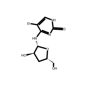 CCc1c[nH]c(=O)nc1N[C@@H]1O[C@H](CO)C[C@H]1O